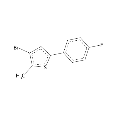 Cc1sc(-c2ccc(F)cc2)cc1Br